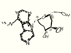 Nc1ncnc2c1c1ccncc1n2[C@@H]1O[C@H](CO)[C@@H](O)[C@H]1O